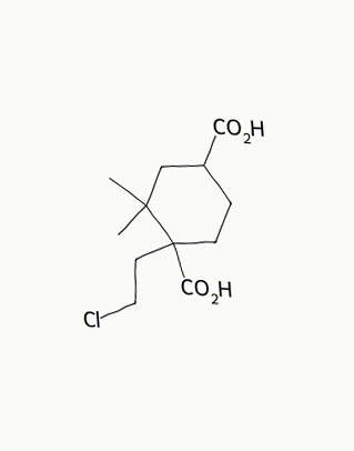 CC1(C)CC(C(=O)O)CCC1(CCCl)C(=O)O